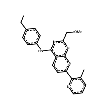 COCc1nc(Nc2ccc(CF)cc2)c2ccc(-c3ncccc3C)nc2n1